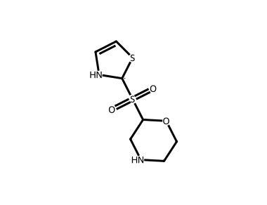 O=S(=O)([C]1NC=CS1)C1CNCCO1